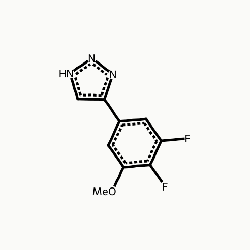 COc1cc(-c2c[nH]nn2)cc(F)c1F